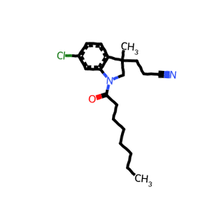 CCCCCCCC(=O)N1CC(C)(CCC#N)c2ccc(Cl)cc21